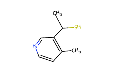 Cc1ccncc1C(C)S